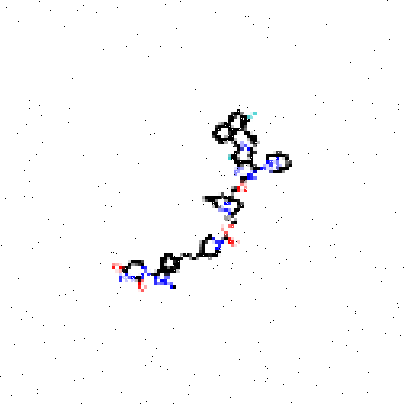 C#Cc1c(F)ccc2cccc(-c3ncc4c(N5CC6CCC(C5)N6)nc(OC[C@@]56CC[C@@H](COC(=O)N7CCC(CCc8ccc9c(N%10CCC(=O)NC%10=O)nn(C)c9c8)CC7)N5CC(=C)C6)nc4c3F)c12